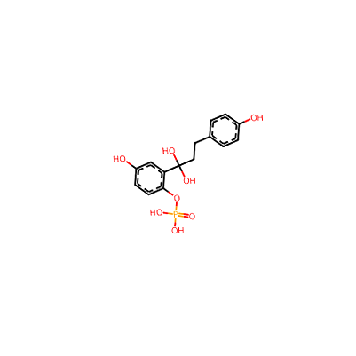 O=P(O)(O)Oc1ccc(O)cc1C(O)(O)CCc1ccc(O)cc1